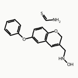 NC=S.ONCC1=Cc2cc(Oc3ccccc3)ccc2OC1